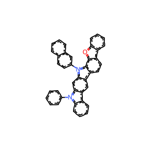 c1ccc(-n2c3ccccc3c3cc4c5ccc6c7ccccc7oc6c5n(-c5ccc6ccccc6c5)c4cc32)cc1